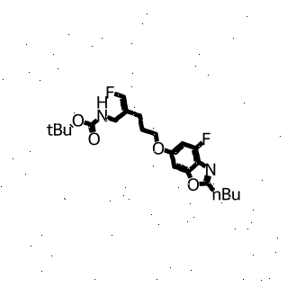 CCCCc1nc2c(F)cc(OCCC/C(=C/F)CNC(=O)OC(C)(C)C)cc2o1